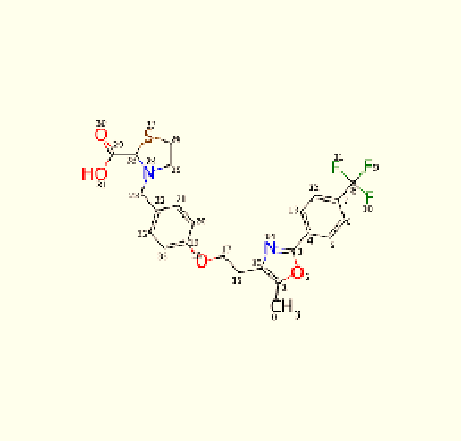 Cc1oc(-c2ccc(C(F)(F)F)cc2)nc1CCOc1ccc(CN2CCSC2C(=O)O)cc1